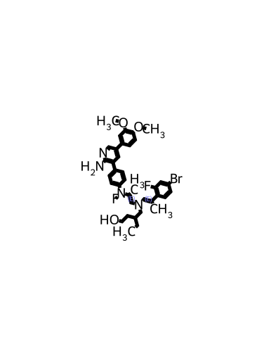 CCC(CCO)CN(/C=C(\C)c1ccc(Br)cc1F)/C=C(\C)N(F)c1ccc(-c2cc(-c3ccc(OC)c(OC)c3)cnc2N)cc1